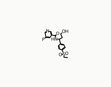 CCS(=O)(=O)c1ccc(C(CCO)NC(=O)c2cncc(F)c2)cc1